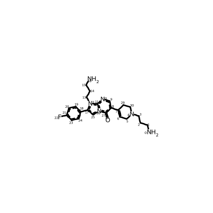 NCCCN1CC=C(c2cnc3n(CCCN)c(-c4ccc(F)cc4)cn3c2=O)CC1